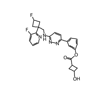 O=C(Oc1cccc(-c2ccc(NCC3(c4ncccc4F)CC(F)C3)nn2)c1)C1CC(O)C1